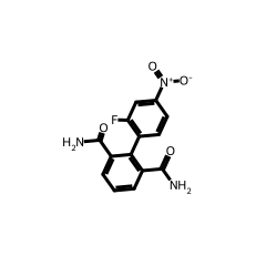 NC(=O)c1cccc(C(N)=O)c1-c1ccc([N+](=O)[O-])cc1F